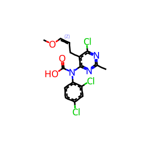 CO/C=C\Cc1c(Cl)nc(C)nc1N(C(=O)O)c1ccc(Cl)cc1Cl